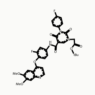 COc1cc2nccc(Oc3ccc(NC(=O)c4cn(CC(=O)OC(C)(C)C)c(=O)n(-c5ccc(F)cc5)c4=O)cc3F)c2cc1OC